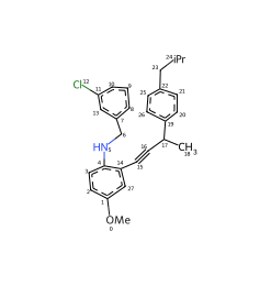 COc1ccc(NCc2cccc(Cl)c2)c(C#CC(C)c2ccc(CC(C)C)cc2)c1